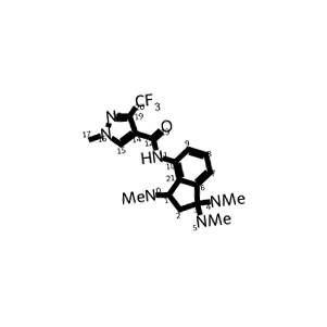 CNC1CC(NC)(NC)c2cccc(NC(=O)c3cn(C)nc3C(F)(F)F)c21